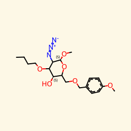 CCCCOC1C(N=[N+]=[N-])[C@@H](OC)OC(COCc2ccc(OC)cc2)[C@H]1O